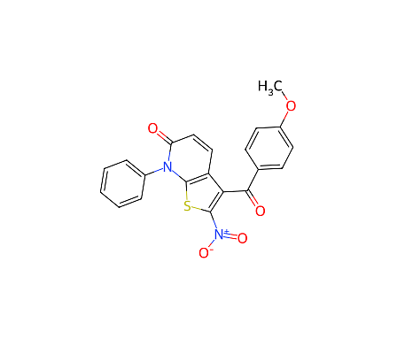 COc1ccc(C(=O)c2c([N+](=O)[O-])sc3c2ccc(=O)n3-c2ccccc2)cc1